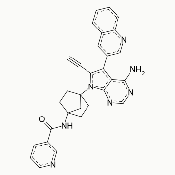 C#Cc1c(-c2cnc3ccccc3c2)c2c(N)ncnc2n1C12CCC(NC(=O)c3cccnc3)(CC1)C2